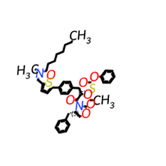 CCCCCCCC(=O)N(C)Cc1ccc(-c2ccc(C(OC(=S)Oc3ccccc3)[C@H](OCC)C(=O)N3C(=O)OC[C@@H]3Cc3ccccc3)cc2)s1